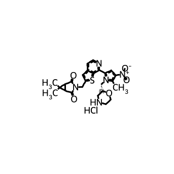 Cc1c([N+](=O)[O-])cc(-c2nccc3cc(CN4C(=O)C5C(C4=O)C5(C)C)sc23)n1C[C@H]1CNCCO1.Cl